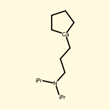 CC(C)N(CC[CH2][Ga]1[CH2]CC[CH2]1)C(C)C